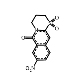 O=c1c2cc([N+](=O)[O-])ccc2cc2n1CCCS2(=O)=O